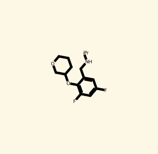 CC(C)NCc1cc(F)cc(F)c1OC1CCCOC1